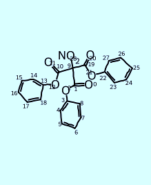 O=C(Oc1ccccc1)C(C(=O)Oc1ccccc1)(C(=O)Oc1ccccc1)[N+](=O)[O-]